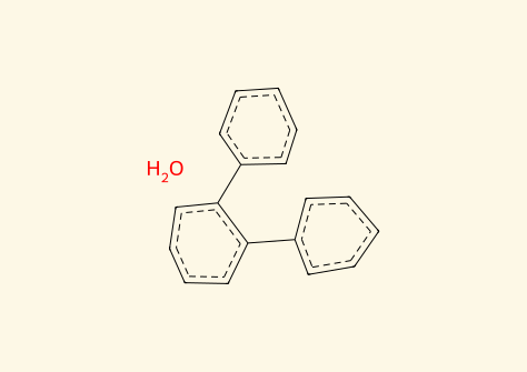 O.c1ccc(-c2ccccc2-c2ccccc2)cc1